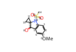 COc1ccc2c(c1)C(=O)C1(CC1)N2S(C)(=O)=O